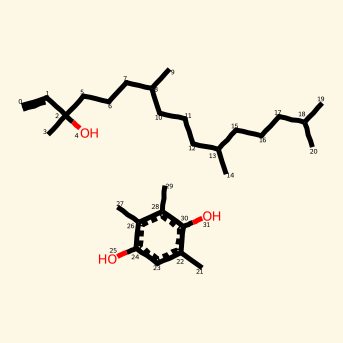 C=CC(C)(O)CCCC(C)CCCC(C)CCCC(C)C.Cc1cc(O)c(C)c(C)c1O